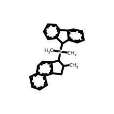 CC1Cc2c(ccc3ccccc23)C1S(C)(C)C1c2ccccc2-c2ccccc21